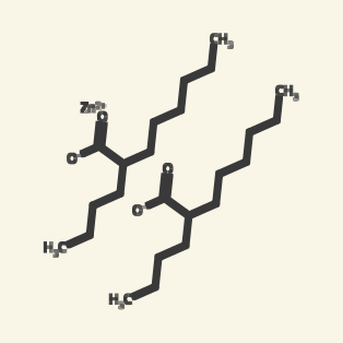 CCCCCCC(CCCC)C(=O)[O-].CCCCCCC(CCCC)C(=O)[O-].[Zn+2]